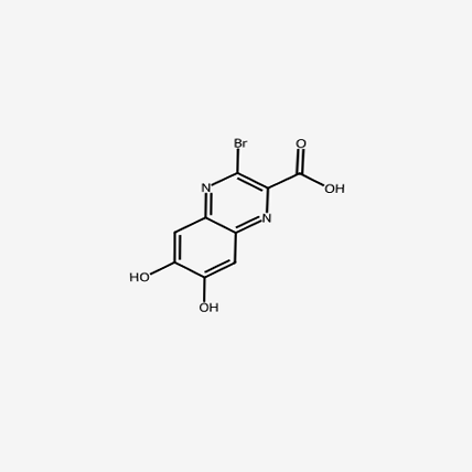 O=C(O)c1nc2cc(O)c(O)cc2nc1Br